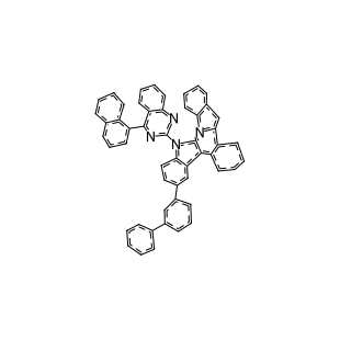 c1ccc(-c2cccc(-c3ccc4c(c3)c3c5ccccc5c5cc6ccccc6n5c3n4-c3nc(-c4cccc5ccccc45)c4ccccc4n3)c2)cc1